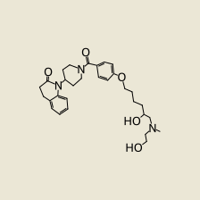 CN(CCO)CC(O)CCCCOc1ccc(C(=O)N2CCC(N3C(=O)CCc4ccccc43)CC2)cc1